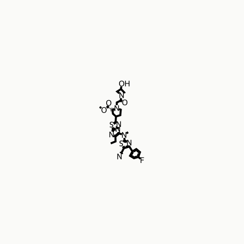 CCc1nc2sc(C3CCN(CC(=O)N4CC(O)C4)[C@@H](C(=O)OC)C3)nn2c1N(C)c1nc(-c2ccc(F)cc2)c(C#N)s1